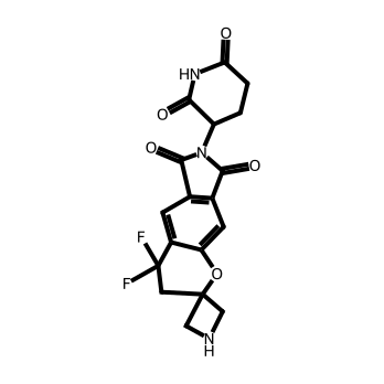 O=C1CCC(N2C(=O)c3cc4c(cc3C2=O)C(F)(F)CC2(CNC2)O4)C(=O)N1